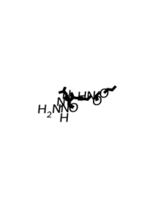 CCCOCC(=O)NCC#Cc1cn(C(C)C)c2nc(N)[nH]c(=O)c12